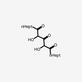 CCCCCCCC(=O)C(O)C(=O)C(O)C(=O)CCCCCCC